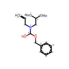 C=CCN(CC(OC)OC)C(O)OCc1ccccc1